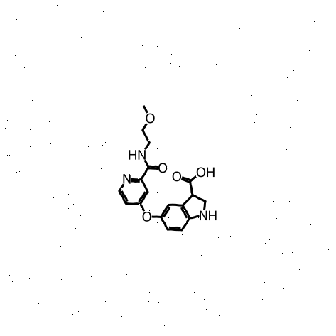 COCCNC(=O)c1cc(Oc2ccc3c(c2)C(C(=O)O)CN3)ccn1